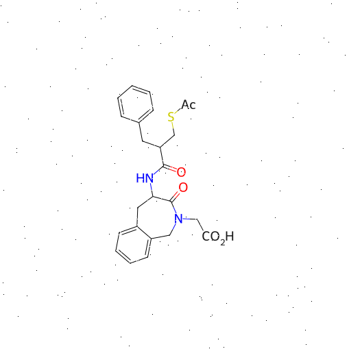 CC(=O)SCC(Cc1ccccc1)C(=O)NC1Cc2ccccc2CN(CC(=O)O)C1=O